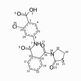 O=C(O)c1ccc(NC(=O)c2ccccc2C(=O)N2CCSC2=O)cc1Cl